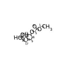 CCOC(=O)COc1ccc2c(c1)S(O)(O)C=C2